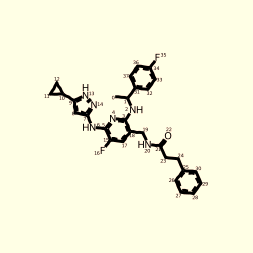 CC(Nc1nc(Nc2cc(C3CC3)[nH]n2)c(F)cc1CNC(=O)CCc1ccccc1)c1ccc(F)cc1